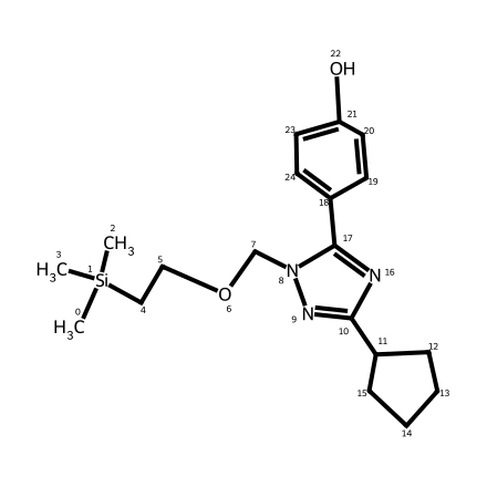 C[Si](C)(C)CCOCn1nc(C2CCCC2)nc1-c1ccc(O)cc1